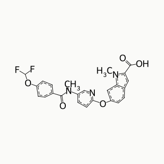 CN(C(=O)c1ccc(OC(F)F)cc1)c1ccc(Oc2ccc3cc(C(=O)O)n(C)c3c2)nc1